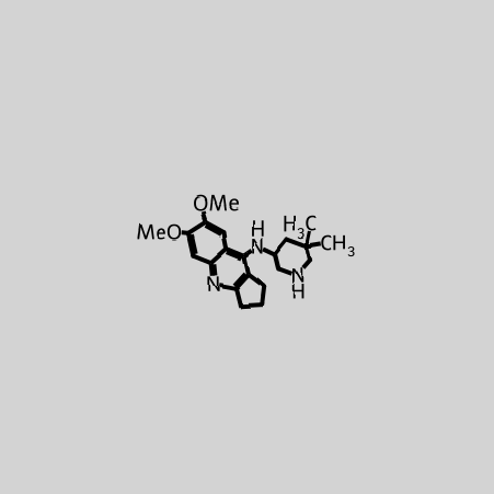 COc1cc2nc3c(c(NC4CNCC(C)(C)C4)c2cc1OC)CCC3